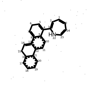 C1=CC=C(C2=CCC=c3c2ccc2c3=CCc3ccccc3-2)NC=C1